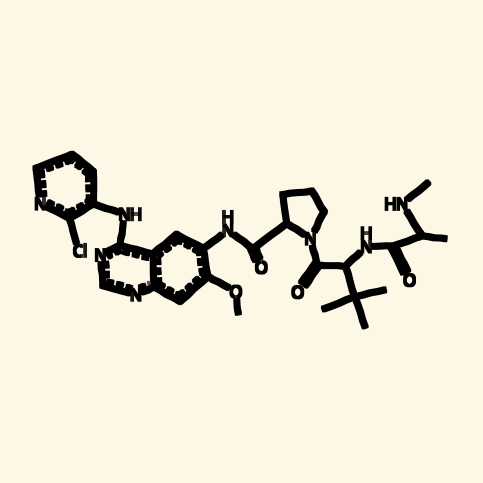 CNC(C)C(=O)NC(C(=O)N1CCCC1C(=O)Nc1cc2c(Nc3cccnc3Cl)ncnc2cc1OC)C(C)(C)C